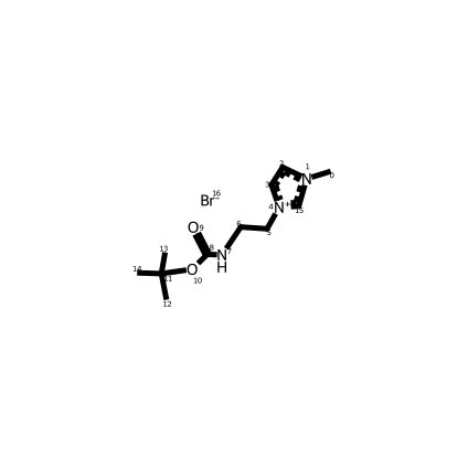 Cn1cc[n+](CCNC(=O)OC(C)(C)C)c1.[Br-]